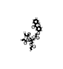 C=CC(=O)OCC(COC(=O)C=C)(COC(=O)C=C)COC(=O)COc1ccc2sc3ccccc3c(=O)c2c1